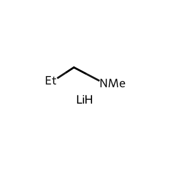 [CH2]CCNC.[LiH]